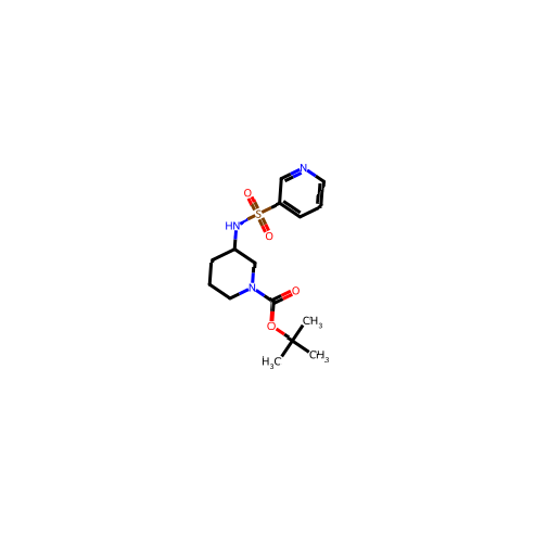 CC(C)(C)OC(=O)N1CCCC(NS(=O)(=O)c2cccnc2)C1